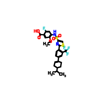 COc1cc(C(=O)O)c(F)cc1NS(=O)(=O)c1csc(-c2ccc(C3=CCC(C(C)C)CC3)cc2C(F)(F)F)n1